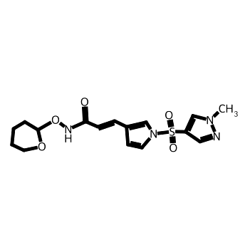 Cn1cc(S(=O)(=O)n2ccc(/C=C/C(=O)NOC3CCCCO3)c2)cn1